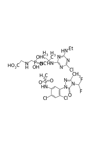 CCNc1nc(Cl)nc(NC(C)(C)C#N)n1.Cc1nn(-c2cc(NS(C)(=O)=O)c(Cl)cc2Cl)c(=O)n1C(F)F.O=C(O)CNCP(=O)(O)O